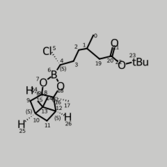 CC(CC[C@@H](Cl)B1O[C@@H]2C[C@@H]3C[C@@H](C3(C)C)[C@]2(C)O1)CC(=O)OC(C)(C)C